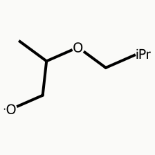 CC(C)COC(C)C[O]